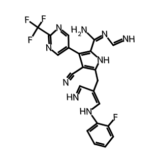 N#Cc1c(C/C(C=N)=C/Nc2ccccc2F)[nH]c(/C(N)=N\C=N)c1-c1cnc(C(F)(F)F)nc1